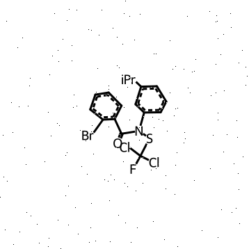 CC(C)c1cccc(N(SC(F)(Cl)Cl)C(=O)c2ccccc2Br)c1